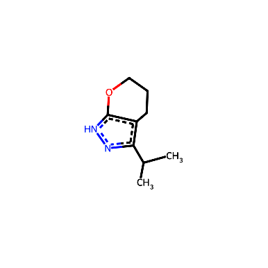 CC(C)c1n[nH]c2c1CCCO2